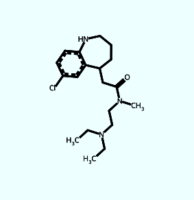 CCN(CC)CCN(C)C(=O)CC1CCCNc2ccc(Cl)cc21